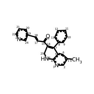 Cc1cnc2c(c1)C(c1ccccc1)=C(C(=O)/C=C/c1cccnc1)CN2